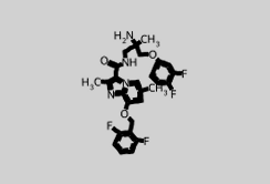 Cc1cc(OCc2c(F)cccc2F)c2nc(C)c(C(=O)NCC(C)(N)COc3ccc(F)c(F)c3)n2c1